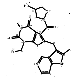 Cc1[nH]c2ccncc2c1Cc1sc2c(c1C(=O)N1CC(O)CO1)c(=O)n(C)c(=O)n2CC(C)C